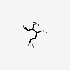 CCCC(C)[C](C)C=S